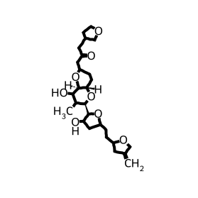 C=C1COC(CCC2CC(O)C([C@@H]3O[C@H]4CCC(CC(=O)CC5CCOC5)O[C@@H]4C(O)C3C)O2)C1